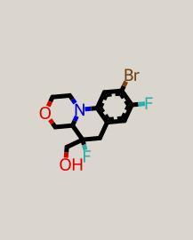 OCC1(F)Cc2cc(F)c(Br)cc2N2CCOCC21